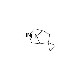 C1NCC2NC1CC21CC1